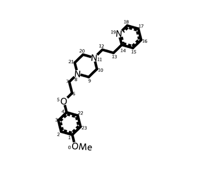 COc1ccc(OCCN2CCN(CCc3ccccn3)CC2)cc1